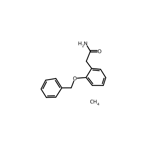 C.NC(=O)Cc1ccccc1OCc1ccccc1